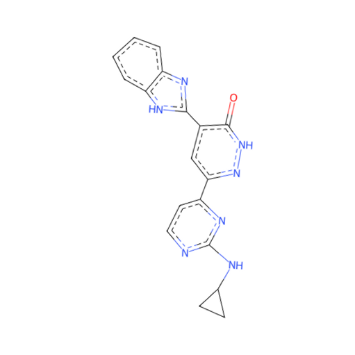 O=c1[nH]nc(-c2ccnc(NC3CC3)n2)cc1-c1nc2ccccc2[nH]1